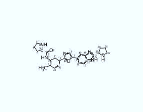 CC1=C(NC(=O)[C@@H]2CCCN2)CC(c2ncc(-c3ccc4[nH]c([C@@H]5CCCN5)nc4c3)o2)C=C1